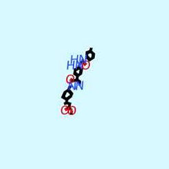 COC(=O)CC(C)c1ccc(Cn2cncc(-c3ccc(NC(=O)Nc4cccc(C)c4)cc3)c2=O)cc1